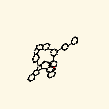 c1ccc(-c2ccc(-c3nc(-c4ccc(-c5ccccc5)cc4)nc(-c4ccc5ccc6oc7ccc(-n8c9cc%10ccccc%10cc9c9c%10ccccc%10ccc98)cc7c6c5c4)n3)cc2)cc1